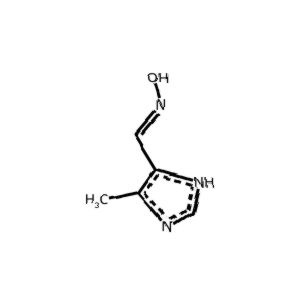 Cc1nc[nH]c1C=NO